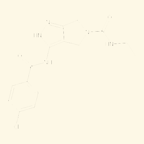 CCNC(=O)N1Cc2n[nH]c(NC(=O)c3ccc(Cl)cc3)c2C1